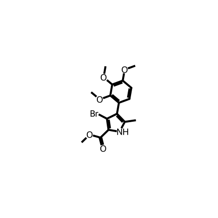 COC(=O)c1[nH]c(C)c(-c2ccc(OC)c(OC)c2OC)c1Br